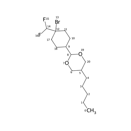 CCCCCC1COC(C2CCC(Br)(C(F)F)CC2)OC1